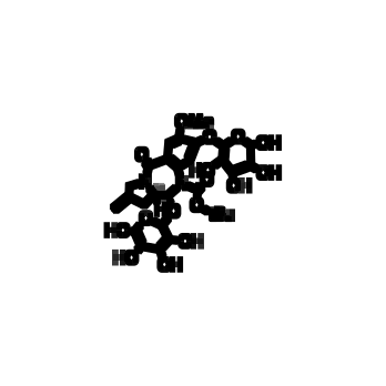 C=C1C[C@H]2[C@H](OC3OC(O)=C(O)C(O)=C3O)N(C(=O)OC(C)(C)C)c3cc(OC4=C(O)C(O)=C(O)C(O)O4)c(OC)cc3C(=O)N2C1